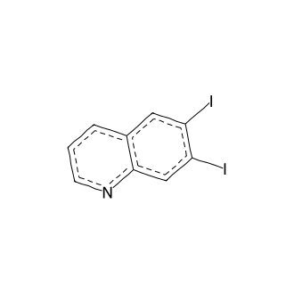 Ic1cc2cccnc2cc1I